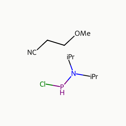 CC(C)N(PCl)C(C)C.COCCC#N